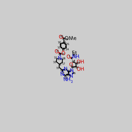 CCNC(=O)[C@H]1O[C@@H](n2cnc3c(N)nc(CC4CCN(C(=O)Oc5ccc(C(=O)OC)cc5)CC4)nc32)C(O)C1O